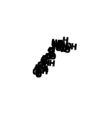 COC(=O)N[C@H](C(=O)N1C[C@@H](C)C[C@H]1c1nc2ccc3cc4c(cc3c2[nH]1)OCc1cc(-c2cnc([C@@H]3CC[C@H](C)N3C(=O)[C@@H](NC(=O)O)C(C)C)[nH]2)ccc1-4)C(C)C